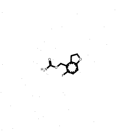 NC(=O)OCc1c(F)ccc2c1CCO2